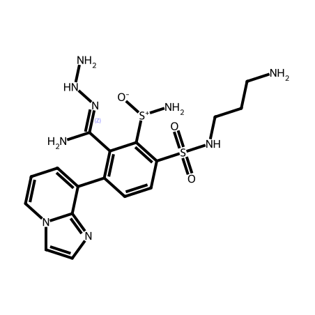 NCCCNS(=O)(=O)c1ccc(-c2cccn3ccnc23)c(/C(N)=N/NN)c1[S+](N)[O-]